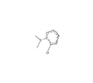 CN(C)c1ccccc1[O]